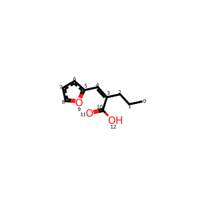 CCCC(=Cc1ccco1)C(=O)O